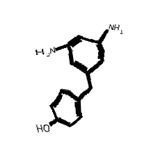 Nc1cc(N)cc(Cc2ccc(O)cc2)c1